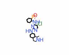 CC1NCCc2ccc(Nc3ncc(Cl)c(Nc4ccccc4P(C)(C)=O)n3)cc21